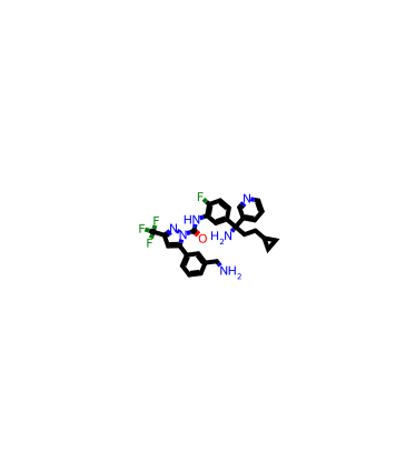 NCc1cccc(-c2cc(C(F)(F)F)nn2C(=O)Nc2cc(C(N)(CCC3CC3)c3cccnc3)ccc2F)c1